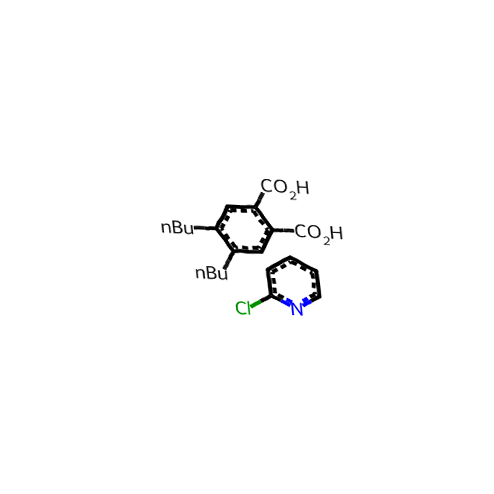 CCCCc1cc(C(=O)O)c(C(=O)O)cc1CCCC.Clc1ccccn1